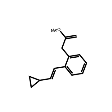 C=C(Cc1ccccc1/C=C/C1CC1)OC